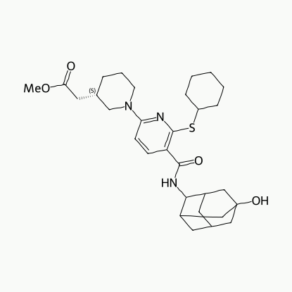 COC(=O)C[C@@H]1CCCN(c2ccc(C(=O)NC3C4CC5CC3CC(O)(C5)C4)c(SC3CCCCC3)n2)C1